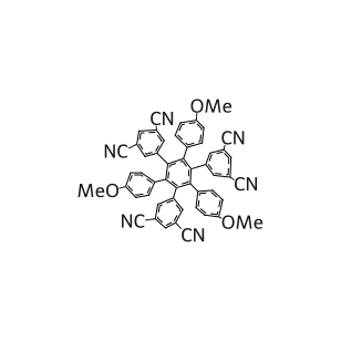 COc1ccc(-c2c(-c3cc(C#N)cc(C#N)c3)c(-c3ccc(OC)cc3)c(-c3cc(C#N)cc(C#N)c3)c(-c3ccc(OC)cc3)c2-c2cc(C#N)cc(C#N)c2)cc1